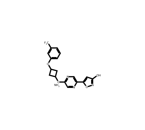 N.Oc1cc(-c2cnc(OC3CC(Oc4cccc(C(F)(F)F)c4)C3)cn2)on1